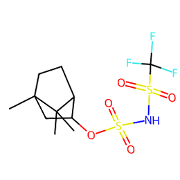 CC12CCC(C(OS(=O)(=O)NS(=O)(=O)C(F)(F)F)C1)C2(C)C